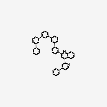 c1ccc(-c2cccc(-c3cccc(-c4cccc(-c5cccc(-c6cc(-c7cc(-c8ccccc8)ccn7)c7ccccc7n6)c5)c4)c3)c2)cc1